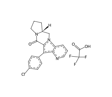 O=C(O)C(F)(F)F.O=C1c2c(-c3ccc(Cl)cc3)c3ncccc3n2C[C@H]2CCCN12